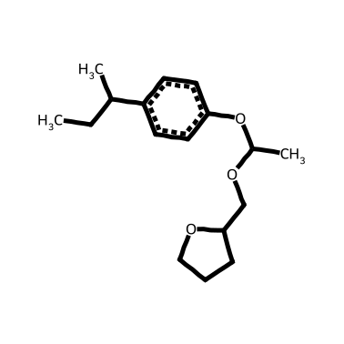 CCC(C)c1ccc(OC(C)OCC2CCCO2)cc1